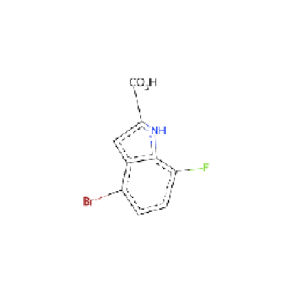 O=C(O)c1cc2c(Br)ccc(F)c2[nH]1